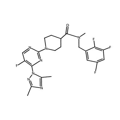 Cc1nc(C)n(-c2nc(N3CCC(C(=O)N(C)Cc4cc(F)cc(F)c4F)CC3)ncc2F)n1